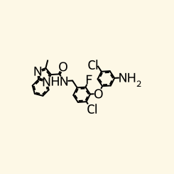 Cc1nc2ccccn2c1C(=O)NCc1ccc(Cl)c(Oc2cc(N)cc(Cl)c2)c1F